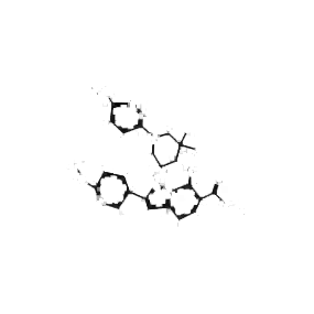 CCOc1ccc(-c2cc3ccc(C(N)=O)c(N[C@@H]4CCN(c5ccc(C#N)nn5)CC4(C)C)n3[n+]2[O-])cn1